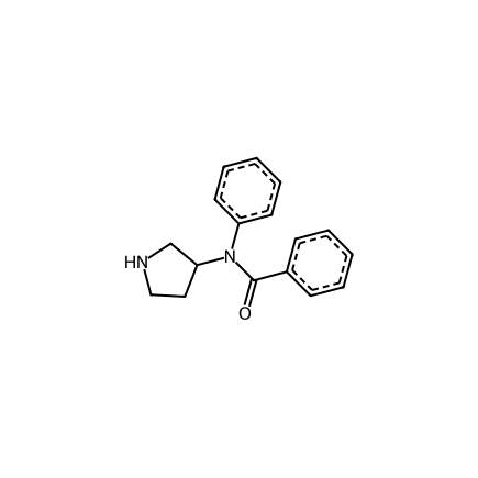 O=C(c1ccccc1)N(c1ccccc1)C1CCNC1